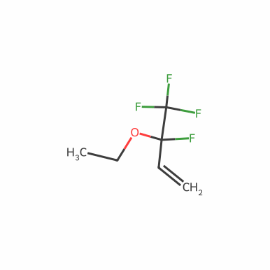 C=CC(F)(OCC)C(F)(F)F